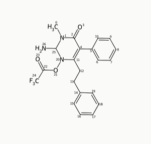 CN1C(=O)C(c2ccccc2)=C(CCc2ccccc2)N(OC(=O)C(F)(F)F)C1N